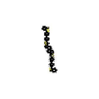 c1ccc2c(-c3ccc(-c4ccc(-c5cc6c(ccc7c6ccc6c8ccc9sc(-c%10ccc(-c%11ccc(-c%12scc%13ccccc%12%13)cc%11)cc%10)cc9c8ccc76)s5)cc4)cc3)scc2c1